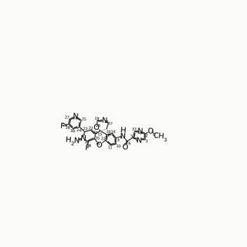 COc1cnc(C(=O)Nc2ccc3c(c2)[C@@]2(CCN=CO2)C2=CC(c4cncc(F)c4)N(N)C(F)=C2O3)cn1